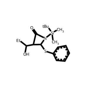 CCC(O)C1C(=O)N([Si](C)(C)C(C)(C)C)C1Sc1ccccc1